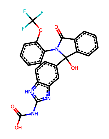 O=C(O)Nc1nc2cc(C3(O)c4ccccc4C(=O)N3c3ccccc3OC(F)(F)F)ccc2[nH]1